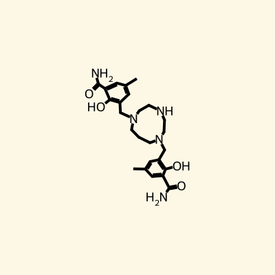 Cc1cc(CN2CCCN(Cc3cc(C)cc(C(N)=O)c3O)CCNCC2)c(O)c(C(N)=O)c1